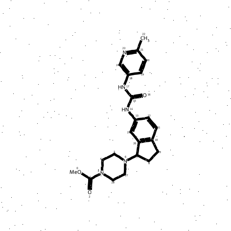 COC(=O)N1CCN(C2CCc3ccc(NC(=O)Nc4ccc(C)nc4)cc32)CC1